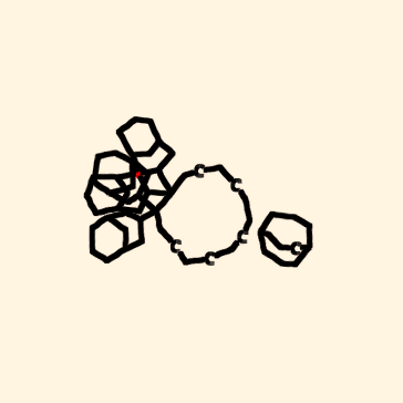 C1CC2CCCC(C1)CCC2.C1CCCCCCC(C2CC3CCCC(C3)C2)(C2CC3CCCC(C3)C2)C(C2CC3CCCC(C3)C2)(C2CC3CCCC(C3)C2)CCCCC1